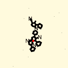 CC1c2c(n(C3C=CC(c4cc(C#N)cc(-c5ccccc5-n5c6ccccc6c6ccccc65)c4C#N)=CC3)c3ccccc23)C=CC1C#N